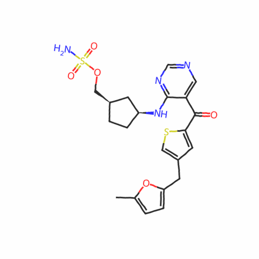 Cc1ccc(Cc2csc(C(=O)c3cncnc3N[C@H]3CC[C@@H](COS(N)(=O)=O)C3)c2)o1